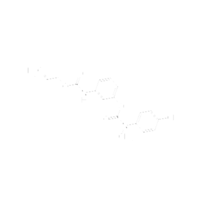 C=CCOC(=O)Nc1cccc(OC(=O)N(C)c2ccc(C)cc2)c1